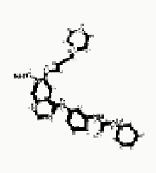 COc1cc2ncnc(Nc3cccc(NC(=O)NC4CCCCC4)c3)c2cc1OCCCN1CCOCC1